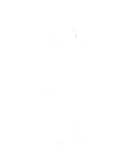 Cc1cnc(CCc2ccc(C)c3c(=O)/c(=N/S)c(=N)c(=O)c23)c2c(=O)/c(=N/S)c(=N)c(=O)c12